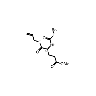 C=CCOC(=O)[C@H](CCC(=O)OC)NC(=O)OC(C)(C)C